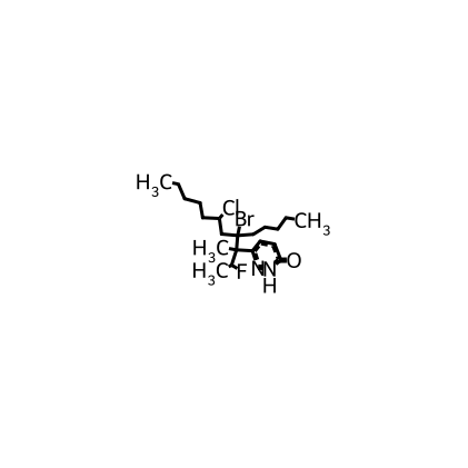 CCCCCC(Cl)CC(Br)(CCCCC)C(C)(c1ccc(=O)[nH]n1)C(C)F